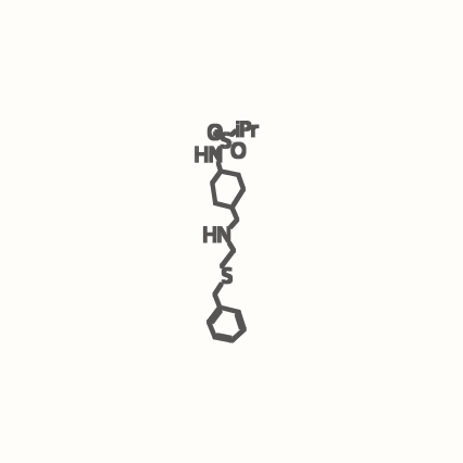 CC(C)S(=O)(=O)NC1CCC(CNCCSCc2ccccc2)CC1